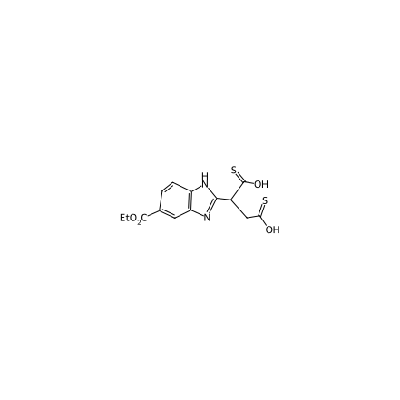 CCOC(=O)c1ccc2[nH]c(C(CC(O)=S)C(O)=S)nc2c1